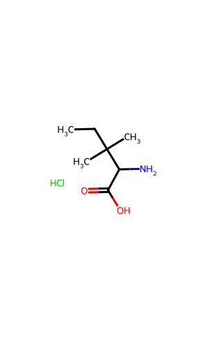 CCC(C)(C)C(N)C(=O)O.Cl